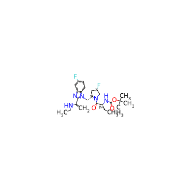 C=C(NCC)c1nc2cc(F)ccc2n1C[C@@H]1C[C@H](F)CN1C(=O)[C@H](CC)NC(=O)OC(C)(C)C